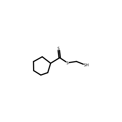 S=C(SCS)C1CCCCC1